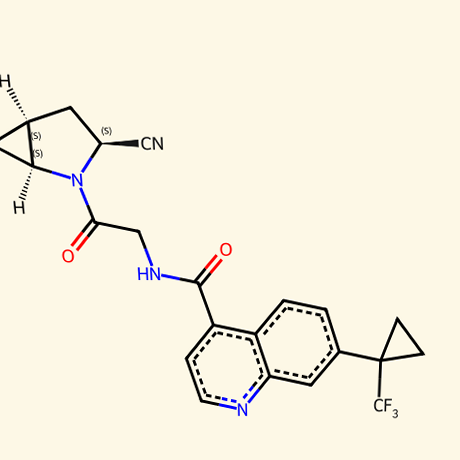 N#C[C@@H]1C[C@@H]2C[C@@H]2N1C(=O)CNC(=O)c1ccnc2cc(C3(C(F)(F)F)CC3)ccc12